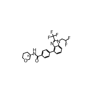 O=C(N[C@@H]1CCCOC1)c1ccc(-c2cccc3c2nc(C(F)(F)F)n3CC(F)F)cc1